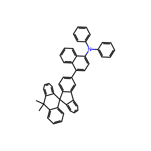 CC1(C)c2ccccc2C2(c3ccccc3-c3cc(-c4ccc(N(c5ccccc5)c5ccccc5)c5ccccc45)ccc32)c2ccccc21